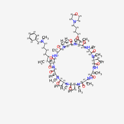 CCC1NC(=O)[C@@H]2[C@@H]([C@H](C)CCCCCN(C)Cc3ccccc3)ON2C(=O)[C@H](C(C)C)N(C)C(=O)[C@H](CC(C)C)N(C)C(=O)[C@H](CC(C)C)N(C)C(=O)[C@@H](C)NC(=O)C(C)NC(=O)[C@H](CC(C)C)N(C)C(=O)C(C(C)C)NC(=O)C([C@@H](C)OCCCCN2CCOCC2)N(C)C(=O)[C@@H](C)N(C)C1=O